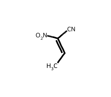 CC=C(C#N)[N+](=O)[O-]